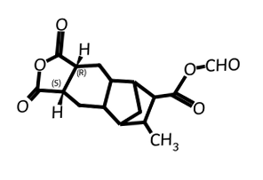 CC1C2CC(C3C[C@H]4C(=O)OC(=O)[C@H]4CC23)C1C(=O)OC=O